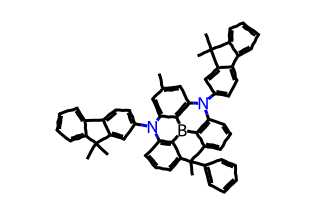 Cc1cc2c3c(c1)N(c1ccc4c(c1)C(C)(C)c1ccccc1-4)c1cccc4c1B3c1c(cccc1C4(C)c1ccccc1)N2c1ccc2c(c1)C(C)(C)c1ccccc1-2